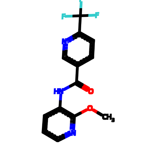 COc1ncccc1NC(=O)c1ccc(C(F)(F)F)nc1